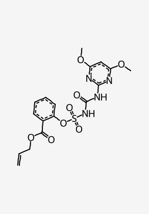 C=CCOC(=O)c1ccccc1OS(=O)(=O)NC(=O)Nc1nc(OC)cc(OC)n1